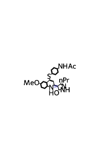 CCCC1=NNC(=O)/C1=C1/C=C(Sc2ccc(NC(C)=O)cc2)c2cc(OC)ccc2N1